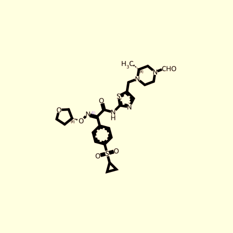 C[C@@H]1CN(C=O)CCN1Cc1cnc(NC(=O)/C(=N/O[C@@H]2CCOC2)c2ccc(S(=O)(=O)C3CC3)cc2)s1